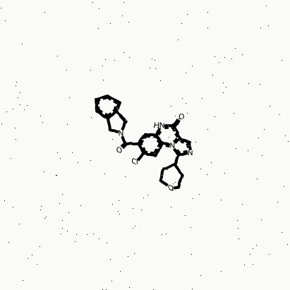 O=C(c1cc2[nH]c(=O)c3cnc(C4CCOCC4)n3c2cc1Cl)N1Cc2ccccc2C1